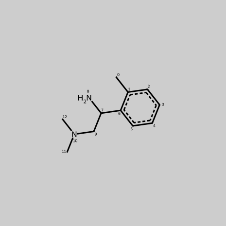 Cc1ccccc1C(N)CN(C)C